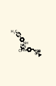 CN1CCN(c2ccc(Nc3ncc(Cl)c(Nc4ccc(CCNS(=O)(=O)C5CC5)cc4)n3)cc2)CC1